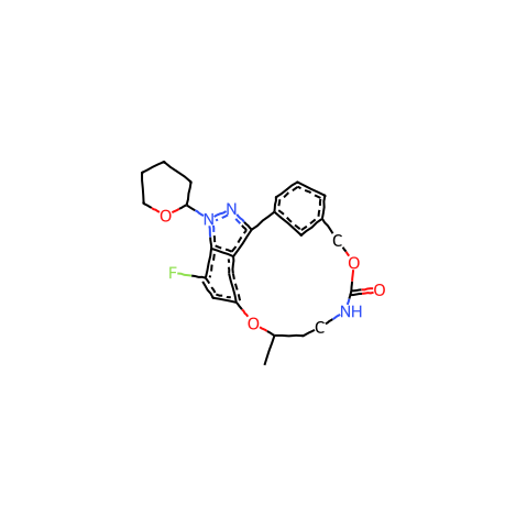 CC1CCNC(=O)OCc2cccc(c2)-c2nn(C3CCCCO3)c3c(F)cc(cc23)O1